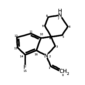 C=CN1CC2(CCNCC2)c2cccc(F)c21